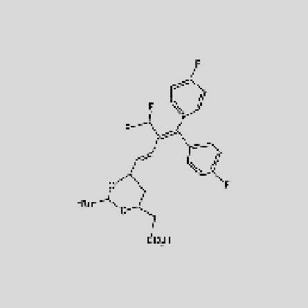 CC(C)(C)C1OC(C=CC(=C(c2ccc(F)cc2)c2ccc(F)cc2)C(F)F)CC(CC(=O)O)O1